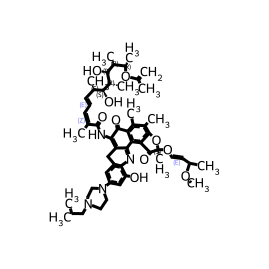 C=C(C)O[C@H](C)[C@H](C)[C@H](O)[C@H](C)[C@@H](O)[C@@H](C)/C=C/C=C(/C)C(=O)NC1=C2Cc3cc(N4CCN(CC(C)C)CC4)cc(O)c3N=C2c2c(c(C)c(C)c3c2C(=O)[C@@](C)(O/C=C/C(C)OC)O3)C1=O